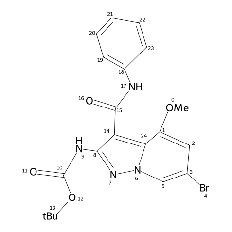 COc1cc(Br)cn2nc(NC(=O)OC(C)(C)C)c(C(=O)Nc3ccccc3)c12